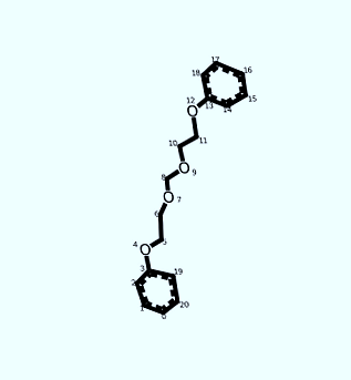 c1ccc(OCCOCOCCOc2ccccc2)cc1